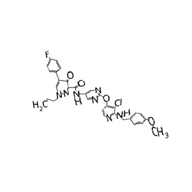 C=CCn1cc(-c2ccc(F)cc2)c(=O)c(C(=O)Nc2cnc(Oc3ccnc(NCc4ccc(OC)cc4)c3Cl)nc2)n1